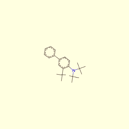 CC(C)(C)c1cc(-c2ccccc2)ccc1N(C(C)(C)C)C(C)(C)C